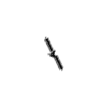 O=C(CC(C(=O)OC(F)(F)C(F)(F)C(F)(F)C(F)(F)C(F)(F)C(F)(F)C(F)(F)C(F)(F)C(F)(F)C(F)(F)F)S(=O)(=O)O)OC(F)(F)C(F)(F)C(F)(F)C(F)(F)C(F)(F)C(F)(F)C(F)(F)C(F)(F)C(F)(F)C(F)(F)F.[NaH]